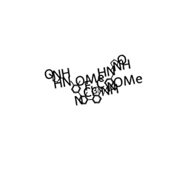 COc1cc(-c2nccc(-c3cccc4c3CCC[C@H]4Nc3nc(OC)c(CNC4CCC(=O)N4)cc3C(F)(F)F)c2Cl)ccc1CNCC1CCC(=O)N1